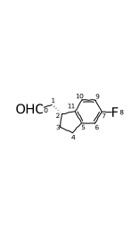 O=CC[C@H]1CCc2cc(F)ccc21